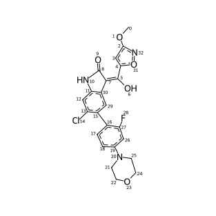 COc1cc(C(O)=C2C(=O)Nc3cc(Cl)c(-c4ccc(N5CCOCC5)cc4F)cc32)on1